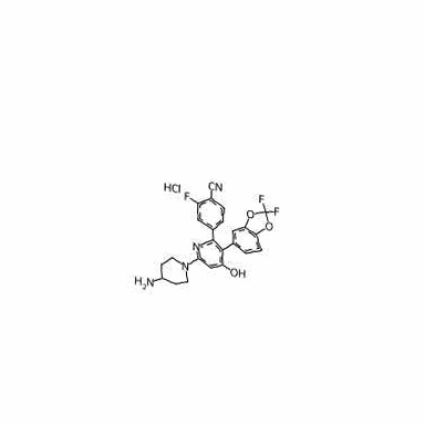 Cl.N#Cc1ccc(-c2nc(N3CCC(N)CC3)cc(O)c2-c2ccc3c(c2)OC(F)(F)O3)cc1F